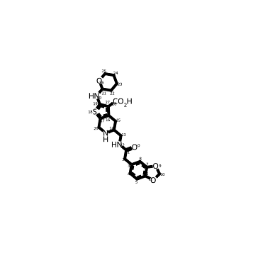 O=C(Cc1ccc2c(c1)OCO2)NCC1Cc2c(sc(NC3CCCCO3)c2C(=O)O)CN1